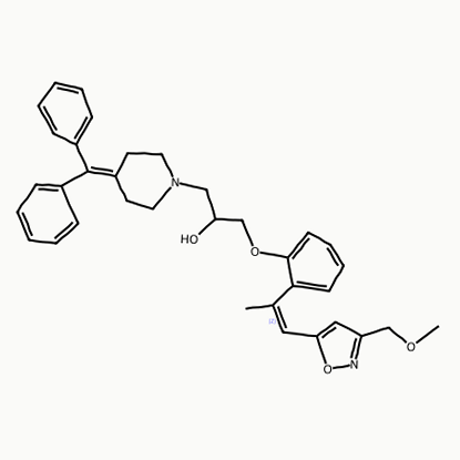 COCc1cc(/C=C(/C)c2ccccc2OCC(O)CN2CCC(=C(c3ccccc3)c3ccccc3)CC2)on1